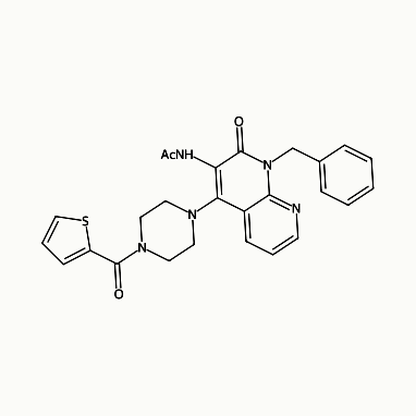 CC(=O)Nc1c(N2CCN(C(=O)c3cccs3)CC2)c2cccnc2n(Cc2ccccc2)c1=O